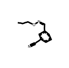 CCCO/N=[C]\c1cccc(C#N)c1